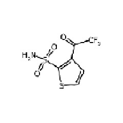 NS(=O)(=O)c1sccc1C(=O)C(F)(F)F